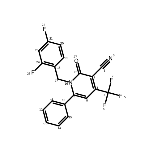 N#Cc1c(C(F)(F)F)cc(-c2ccccc2)n(Cc2ccc(F)cc2F)c1=O